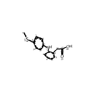 CSc1ccc(Nc2ccccc2CC(=O)O)cc1